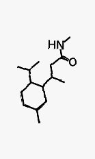 CNC(=O)CC(C)C1CC(C)CCC1C(C)C